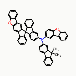 CC1(C)c2ccccc2-c2ccc(N(c3ccc4c(c3)-c3ccccc3C43c4ccccc4-c4cc5oc6ccccc6c5cc43)c3ccc4oc5ccccc5c4c3)cc21